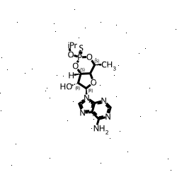 CC(C)OP1(=S)O[C@@H](C)C2O[C@@H](n3cnc4c(N)ncnc43)[C@H](O)[C@@H]2O1